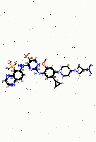 COc1cc(N2CCC(N3CC(N(C)C)C3)CC2)c(C2CC2)cc1Nc1ncc(Br)c(Nc2ccc3nccnc3c2P(C)(C)=O)n1